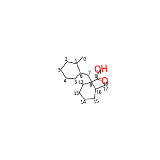 CC1CCCCC1CC1(C(=O)O)CCCCC1C